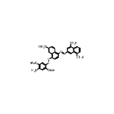 COc1cc(N=Nc2ccc(N=Nc3cc(S(=O)(=O)O)c4cccc(S(=O)(=O)O)c4c3)c3ccc(S(=O)(=O)O)cc23)c(OC)cc1N